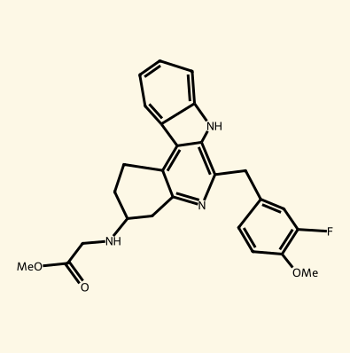 COC(=O)CNC1CCc2c(nc(Cc3ccc(OC)c(F)c3)c3[nH]c4ccccc4c23)C1